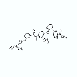 CNc1nccc(-c2cccnc2Oc2ccc(NC(=O)c3cccc(CNCCN(C)C)c3)cc2C)n1